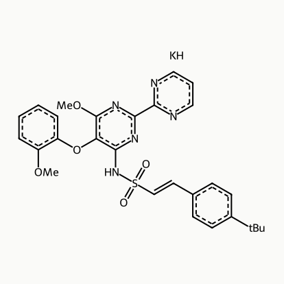 COc1ccccc1Oc1c(NS(=O)(=O)C=Cc2ccc(C(C)(C)C)cc2)nc(-c2ncccn2)nc1OC.[KH]